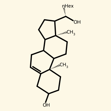 CCCCCC[C@H](O)C1CCC2C3CC=C4CC(O)CC[C@]4(C)C3CC[C@@]21C